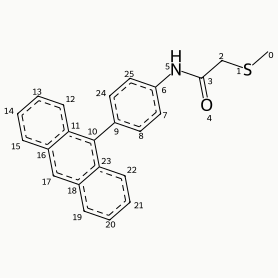 CSCC(=O)Nc1ccc(-c2c3ccccc3cc3ccccc23)cc1